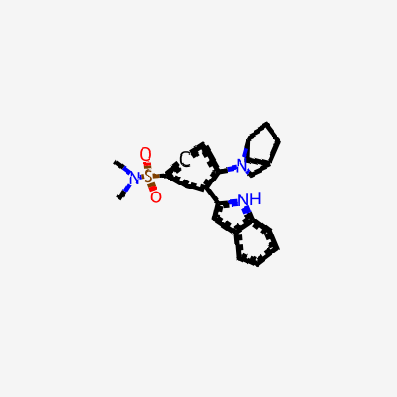 CN(C)S(=O)(=O)c1ccc(N2CC3CCC2C3)c(-c2cc3ccccc3[nH]2)c1